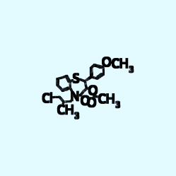 COc1ccc([C@@H]2Sc3ccccc3N(CC(C)CCl)C(=O)[C@@H]2OC(C)=O)cc1